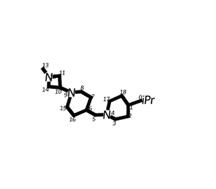 CC(C)C1CCN(CC2CCN(C3CN(C)C3)CC2)CC1